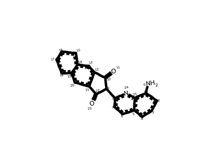 Nc1cccc2ccc(C3C(=O)c4cc5ccccc5cc4C3=O)nc12